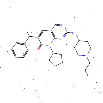 CCCN1CCC(Nc2ncc3cc(C(C)c4ccccc4)c(=O)n(C4CCCC4)c3n2)CC1